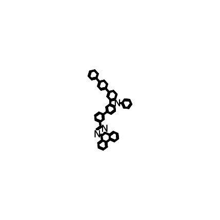 C1=CCCC(C2=CC=C(C3=Cc4c(n(-c5ccccc5)c5ccc(-c6cccc(-c7cnc8c9ccccc9c9ccccc9c8n7)c6)cc45)CC3)CC2)=C1